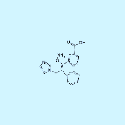 NO/C(=C(\Cn1ccnc1)c1ccccc1)c1cccc(C(=O)O)c1